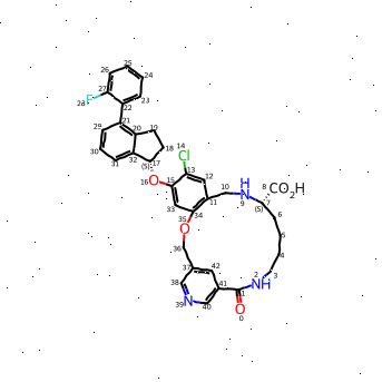 O=C1NCCCC[C@@H](C(=O)O)NCc2cc(Cl)c(O[C@H]3CCc4c(-c5ccccc5F)cccc43)cc2OCc2cncc1c2